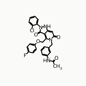 CC(=O)Nc1cccc(Cn2c(COc3ccc(F)cc3)c3c(=O)n(-c4ccccc4Cl)[nH]c3cc2=O)c1